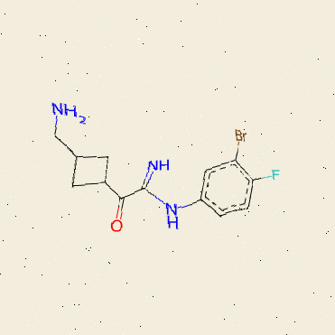 N=C(Nc1ccc(F)c(Br)c1)C(=O)C1CC(CN)C1